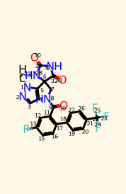 Cn1nccc1C1(CNC(=O)c2cc(F)ccc2-c2ccc(C(F)(F)F)cc2)NC(=O)NC1=O